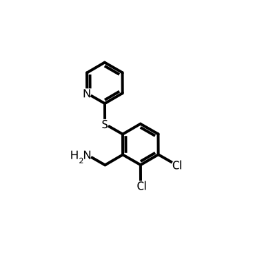 NCc1c(Sc2ccccn2)ccc(Cl)c1Cl